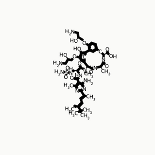 C=C/C(=C\C=C(/C)c1nc(C)c(C(=O)N[C@@H](CNS(N)(=O)=O)C(=O)N(C)[C@@H]2C(=O)N[C@@H](C)C(=O)N[C@H](C(=O)O)Cc3ccc(OC[C@H](O)CN)c(c3)-c3cc2cc(OC[C@H](O)CN)c3O)c(N)n1)C(C)(C)C